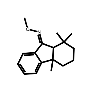 CON=C1c2ccccc2C2(C)CCCC(C)(C)C12